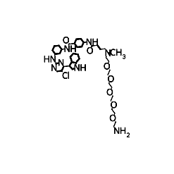 CN(C/C=C/C(=O)Nc1ccc(C(=O)Nc2cccc(Nc3ncc(Cl)c(-c4c[nH]c5ccccc45)n3)c2)cc1)CCOCCOCCOCCOCCOCCN